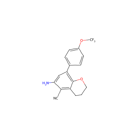 N#Cc1c(N)cc(-c2ccc(OC(F)(F)F)cc2)c2c1CCCO2